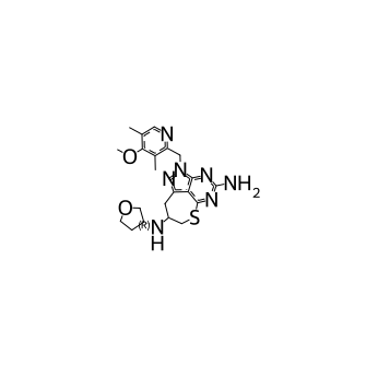 COc1c(C)cnc(Cn2nc3c4c(nc(N)nc42)SCC(N[C@@H]2CCOC2)C3)c1C